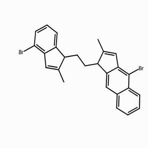 CC1=Cc2c(Br)cccc2C1CCC1C(C)=Cc2c1cc1ccccc1c2Br